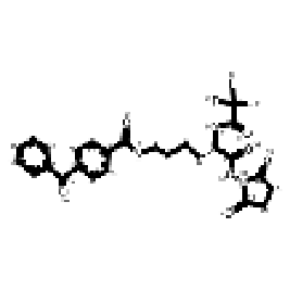 O=C(NCCCC[C@H](NC(=O)C(F)(F)F)C(=O)ON1C(=O)CCC1=O)c1ccc(C(=O)c2ccccc2)cc1